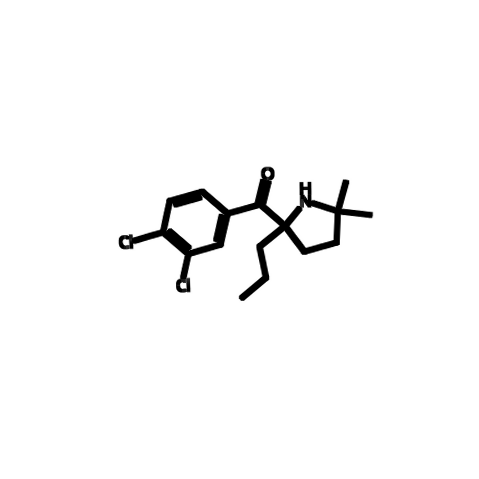 CCCC1(C(=O)c2ccc(Cl)c(Cl)c2)CCC(C)(C)N1